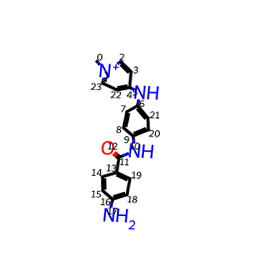 C[n+]1ccc(Nc2ccc(NC(=O)c3ccc(N)cc3)cc2)cc1